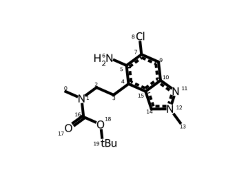 CN(CCc1c(N)c(Cl)cc2nn(C)cc12)C(=O)OC(C)(C)C